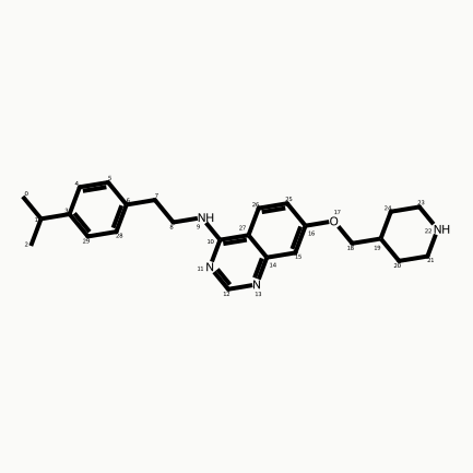 CC(C)c1ccc(CCNc2ncnc3cc(OCC4CCNCC4)ccc23)cc1